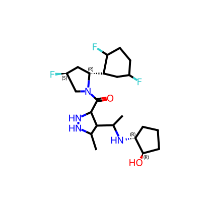 CC1NNC(C(=O)N2C[C@@H](F)C[C@@H]2C2CC(F)CCC2F)C1C(C)N[C@@H]1CCC[C@H]1O